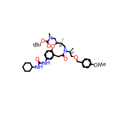 COc1ccc(COC[C@H](C)N2C[C@@H](C)[C@H](CN(C)C(=O)OC(C)(C)C)Oc3ccc(NC(=O)NC4CCCCC4)cc3CC2=O)cc1